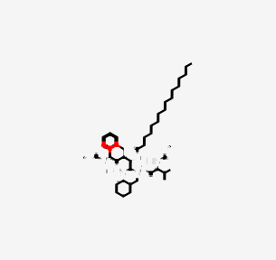 CCCCCCCCCCCCCCCC(=O)O[C@H](C(N)N(CC1CCCCC1)NC(=O)[C@@H](NC(=O)OC)C(C)C)[C@H](Cc1ccccc1)C(=O)[C@@H](NC(=O)OC)C(C)C